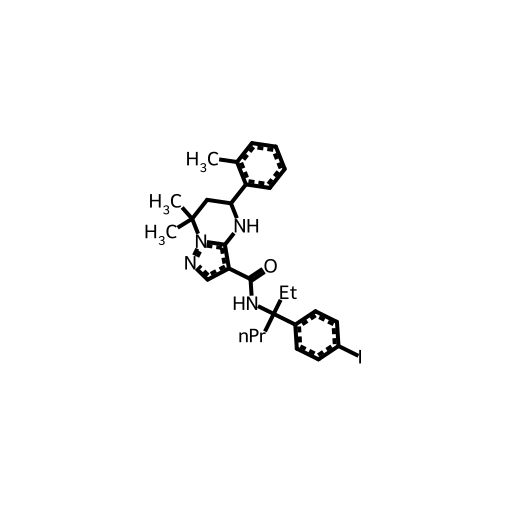 CCCC(CC)(NC(=O)c1cnn2c1NC(c1ccccc1C)CC2(C)C)c1ccc(I)cc1